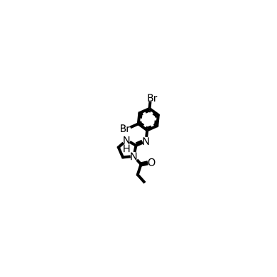 CCC(=O)N1CCN/C1=N\c1ccc(Br)cc1Br